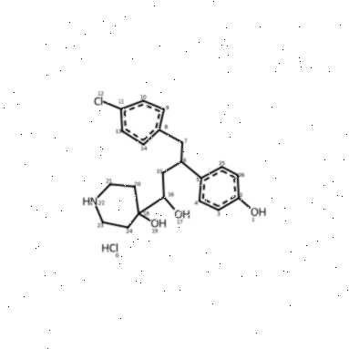 Cl.Oc1ccc(C(Cc2ccc(Cl)cc2)CC(O)C2(O)CCNCC2)cc1